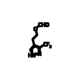 O=COCCc1c[nH]nc1C(F)(F)F